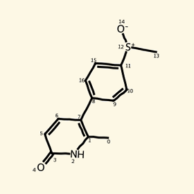 Cc1[nH]c(=O)ccc1-c1ccc([S+](C)[O-])cc1